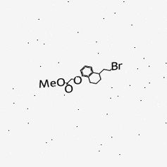 COC(=O)COc1cccc2c1CCCC2CCBr